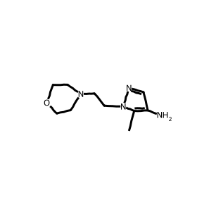 Cc1c(N)cnn1CCN1CCOCC1